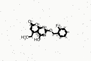 CCc1cc(=O)oc2nc(OCc3ccccc3F)nc(O)c12